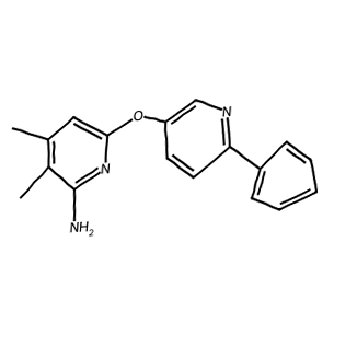 Cc1cc(Oc2ccc(-c3ccccc3)nc2)nc(N)c1C